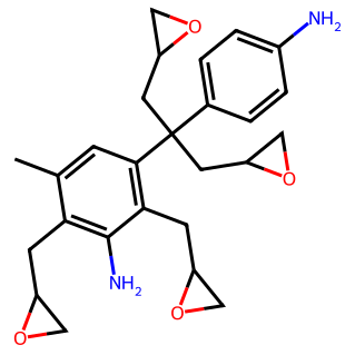 Cc1cc(C(CC2CO2)(CC2CO2)c2ccc(N)cc2)c(CC2CO2)c(N)c1CC1CO1